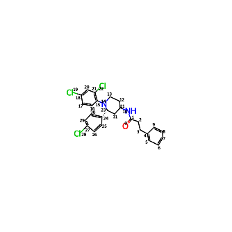 O=C(CCc1ccccc1)NC1CCN(c2ccc(Cl)cc2Cl)[C@@H](c2ccc(Cl)cc2)C1